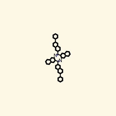 c1ccc(-c2ccc3cc(/C4=N/c5cc6ccccc6cc5/C(c5ccc6cc(-c7ccccc7)ccc6c5)=N\c5cc6ccccc6cc54)ccc3c2)cc1